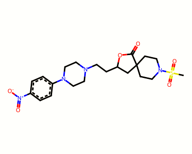 CS(=O)(=O)N1CCC2(CC1)CC(CCN1CCN(c3ccc([N+](=O)[O-])cc3)CC1)OC2=O